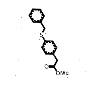 COC(=O)Cc1ccc(SCc2ccccc2)cc1